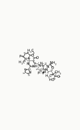 CCOC(=O)C1=C(CN2CC(F)(F)[C@@H]3[C@H]2CN(C(N)=O)N3CCC(C)(C)C(=O)O)NC(c2nccs2)=N[C@H]1c1cccc(F)c1C